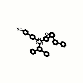 N#Cc1ccc(-c2ccc(-c3nc(-c4cc(-c5ccccc5)cc(-c5ccccc5)c4)nc(-c4ccc5c(c4)oc4cccc(-c6cccc(-c7ccccc7)c6)c45)n3)cc2)cc1